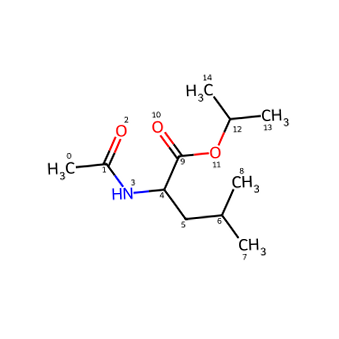 CC(=O)NC(CC(C)C)C(=O)OC(C)C